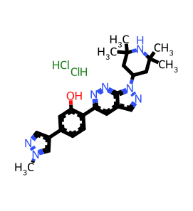 Cl.Cl.Cn1cc(-c2ccc(-c3cc4cnn(C5CC(C)(C)NC(C)(C)C5)c4nn3)c(O)c2)cn1